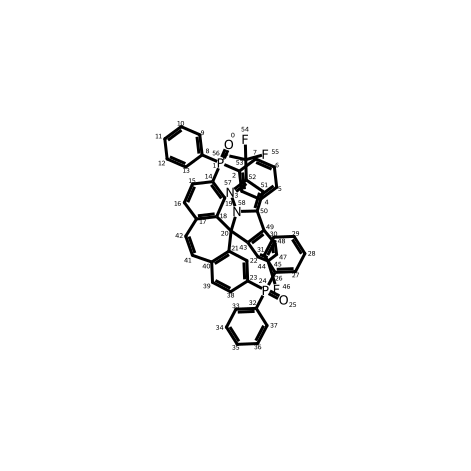 O=P(c1ccccc1)(c1ccccc1)c1ccc2c(c1)C1(c3cc(P(=O)(c4ccccc4)c4ccccc4)ccc3C=C2)c2cc(F)ccc2-c2cc(C(F)(F)F)nn21